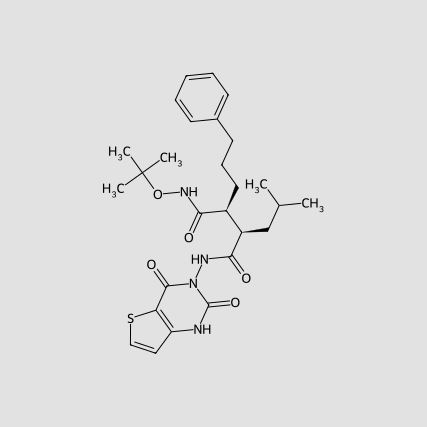 CC(C)C[C@@H](C(=O)Nn1c(=O)[nH]c2ccsc2c1=O)[C@H](CCCc1ccccc1)C(=O)NOC(C)(C)C